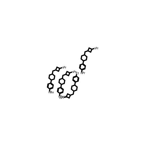 CCCC1CC(CC2CCC(c3ccc(CC)cc3)CC2)C1.CCCCCc1ccc(C2CCC(CC3CC(CCC)C3)CC2)cc1.CCCCc1ccc(C2CCC(CC3CC(CCC)C3)CC2)cc1.CCCc1ccc(C2CCC(CC3CC(CCC)C3)CC2)cc1